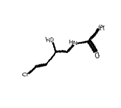 CC(C)C(=O)NCC(O)CCCl